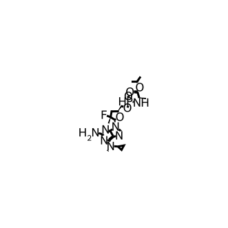 CC(C)OC(=O)[C@@H](C)N[PH](=O)OC[C@@H]1C[C@@](C)(F)[C@H](n2cnc3c(N(C)C4CC4)nc(N)nc32)O1